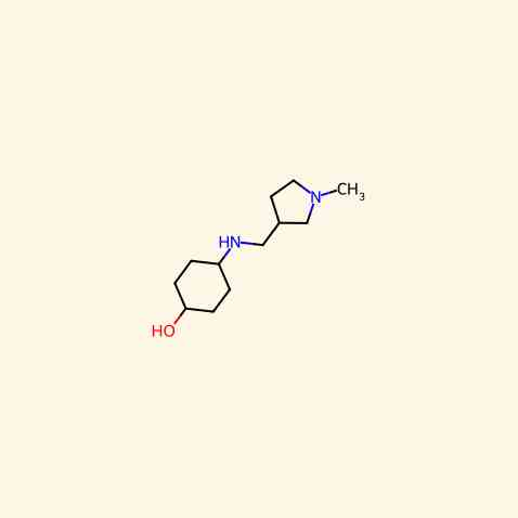 CN1CCC(CNC2CCC(O)CC2)C1